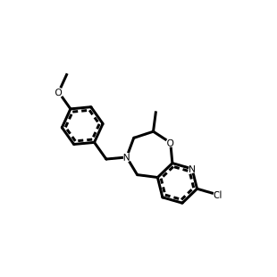 COc1ccc(CN2Cc3ccc(Cl)nc3OC(C)C2)cc1